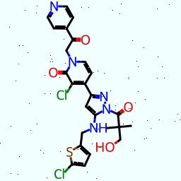 CC(C)(CO)C(=O)n1nc(-c2ccn(CC(=O)c3ccncc3)c(=O)c2Cl)cc1NCc1ccc(Cl)s1